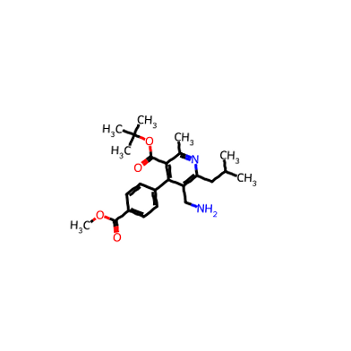 COC(=O)c1ccc(-c2c(CN)c(CC(C)C)nc(C)c2C(=O)OC(C)(C)C)cc1